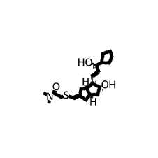 CN(C)C(=O)CSC=C1C[C@H]2C[C@@H](O)[C@H](C=C[C@@H](O)C3CCCC3)[C@H]2C1